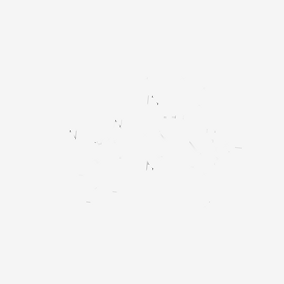 CCOc1cc2nc(-c3cccc(C(F)(F)F)c3)c(CN3CCC(N4CCOCC4)CC3)c(C(=O)NC3(c4ccccc4)CC3)c2cc1S(C)(=O)=O